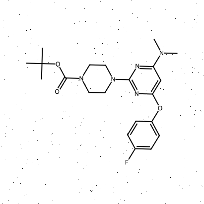 CN(C)c1cc(Oc2ccc(F)cc2)nc(N2CCN(C(=O)OC(C)(C)C)CC2)n1